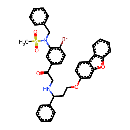 CS(=O)(=O)N(Cc1ccccc1)c1cc(C(=O)CNC(CCOc2ccc3c(c2)oc2ccccc23)c2ccccc2)ccc1Br